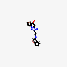 O=c1cc(NCCCN[C@@H]2COc3ccccc32)[nH]c2ccsc12